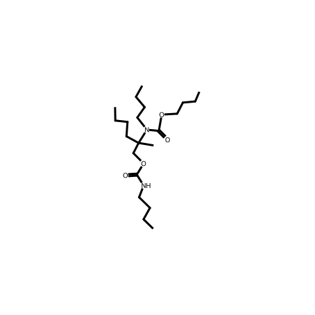 CCCCNC(=O)OCC(C)(CCCC)N(CCCC)C(=O)OCCCC